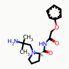 CC(C)(N)CN1CCC[C@H]1C(=O)NC(=O)COc1ccccc1